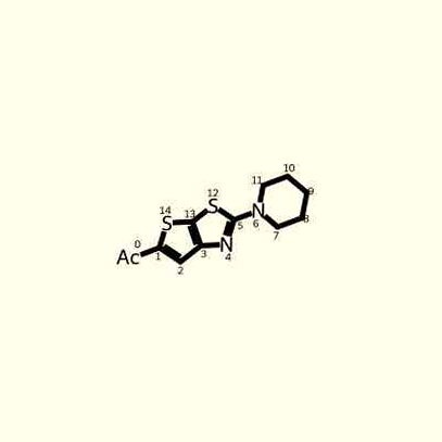 CC(=O)c1cc2nc(N3CCCCC3)sc2s1